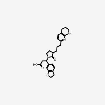 O=C(O)CC(c1ccc2c(c1)OCC2)N1CCC(CCCc2ccc3c(n2)NCCC3)C1=O